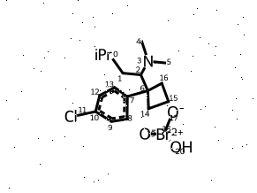 CC(C)CC(N(C)C)C1(c2ccc(Cl)cc2)CCC1.[O-][Br+2]([O-])O